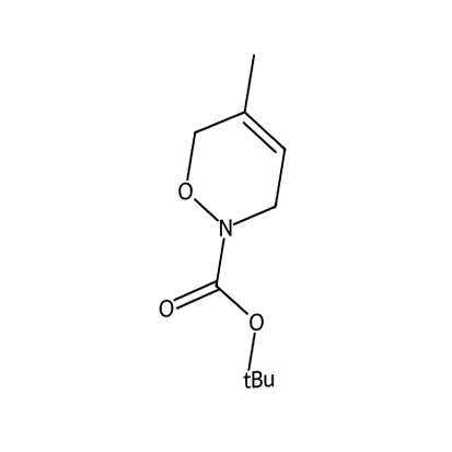 CC1=CCN(C(=O)OC(C)(C)C)OC1